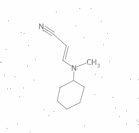 CN(C=CC#N)C1CCCCC1